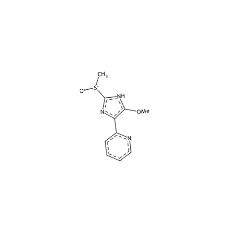 COc1[nH]c([S+](C)[O-])nc1-c1ccccn1